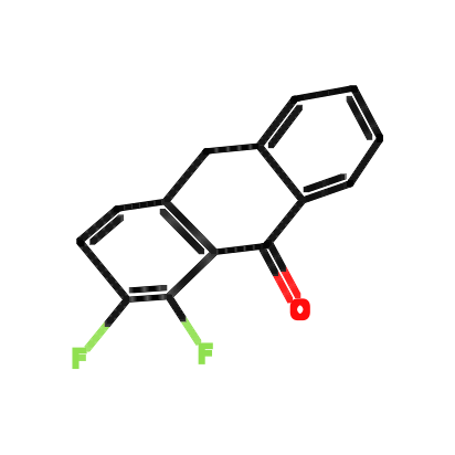 O=C1c2ccccc2Cc2ccc(F)c(F)c21